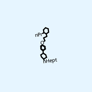 CCCCCCCC1CCC(c2ccc(OCCCC3CCCCC3CCC)cc2)CC1